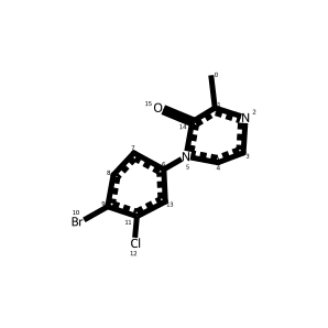 Cc1nccn(-c2ccc(Br)c(Cl)c2)c1=O